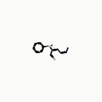 C/C=C\C=C(/C=S)Nc1ccccc1